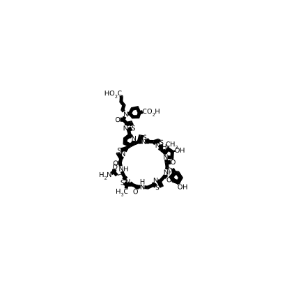 Cc1sc2nc1C(=O)NCc1nc(cs1)C(=O)N[C@@H](Cc1ccc(O)cc1)C(=O)N1C[C@H](O)[C@H](C)[C@H]1c1nc(cs1)-c1nc(cs1)-c1nc(-c3nc(C(=O)N(CCCCC(=O)O)C4CCC(C(=O)O)CC4)cs3)ccc1-c1nc(cs1)C(=O)N[C@H]2CC(N)=O